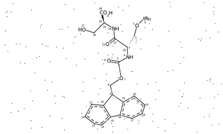 CC(C)(C)OC[C@H](NC(=O)OCC1c2ccccc2-c2ccccc21)C(=O)N[C@@H](CO)C(=O)O